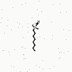 CCCCCCCC[Si](C)(C)C#N